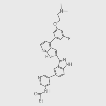 CCC(=O)Nc1cncc(-c2ccc3[nH]nc(-c4cc5c(-c6cc(F)cc(OCCN(C)C)c6)ccnc5[nH]4)c3c2)c1